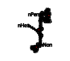 CCCCCC/C=C/CCCCCCCC(=O)OC(COC(=O)CCCCCCCC(CCCCCCCCC)OC(=O)CCP1(=O)Oc2ccccc2-c2ccccc21)COC(=O)CCCCCCCC(CCCC(CCCCC)OC(=O)CCP1(=O)Oc2ccccc2-c2ccccc21)OC(=O)CCP1(=O)Oc2ccccc2-c2ccccc21